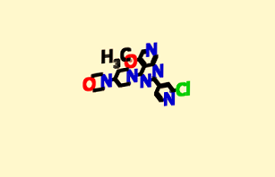 COc1cncc2nc(-c3ccnc(Cl)c3)nc(N3CCC(N4CCOCC4)CC3)c12